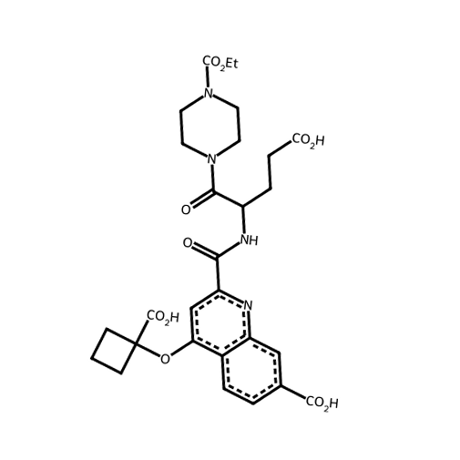 CCOC(=O)N1CCN(C(=O)C(CCC(=O)O)NC(=O)c2cc(OC3(C(=O)O)CCC3)c3ccc(C(=O)O)cc3n2)CC1